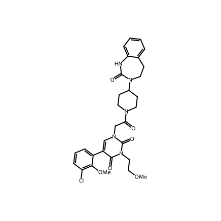 COCCn1c(=O)c(-c2cccc(Cl)c2OC)cn(CC(=O)N2CCC(N3CCc4ccccc4NC3=O)CC2)c1=O